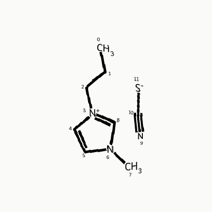 CCC[n+]1ccn(C)c1.N#C[S-]